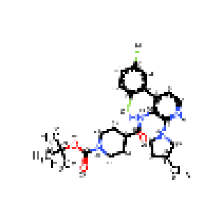 C[C@H]1CCN(c2nccc(-c3cc(F)ccc3F)c2NC(=O)C2CCN(C(=O)OC(C)(C)C)CC2)C1